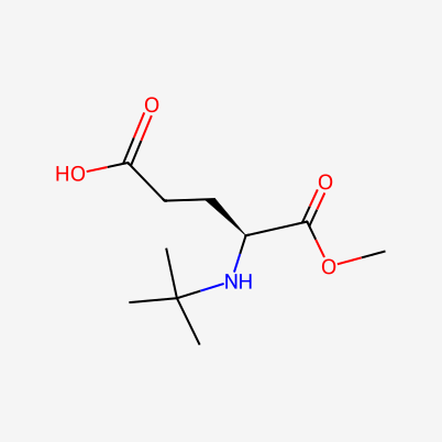 COC(=O)[C@H](CCC(=O)O)NC(C)(C)C